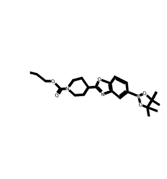 CCCOC(=O)N1CCC(c2nc3cc(B4OC(C)(C)C(C)(C)O4)ccc3o2)CC1